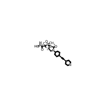 C[C@@](C[C@H]1CN(c2ccc(C#Cc3ccncc3)cc2)C(=O)O1)(C(=O)NO)S(C)(=O)=O